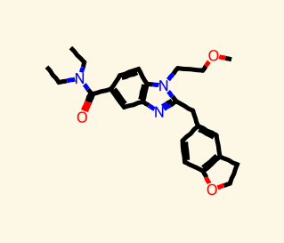 CCN(CC)C(=O)c1ccc2c(c1)nc(Cc1ccc3c(c1)CCO3)n2CCOC